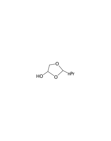 CCCC1OCC(O)O1